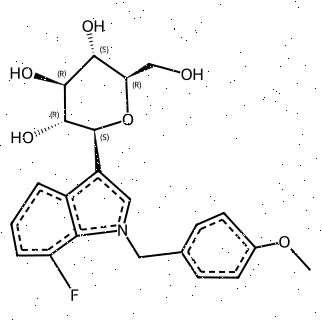 COc1ccc(Cn2cc([C@@H]3O[C@H](CO)[C@@H](O)[C@H](O)[C@H]3O)c3cccc(F)c32)cc1